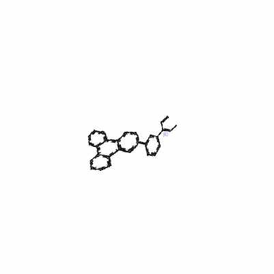 C=C/C(=C\C)c1cccc(-c2ccc3c4ccccc4c4ccccc4c3c2)c1